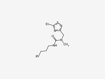 CCc1nc(CN(C)C(=O)NCCCC(C)C)cs1